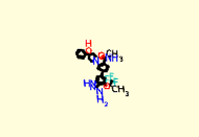 CNC(=O)c1ccc(-c2cc(O[C@H](C)C(F)(F)F)c3c(N)n[nH]c3c2)cc1N1CCC(O)(c2ccccc2)CC1